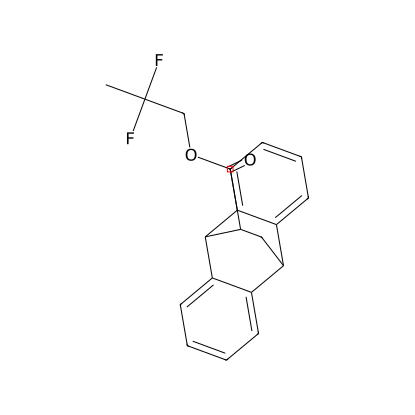 CC(F)(F)COC(=O)C1CC2c3ccccc3C1c1ccccc12